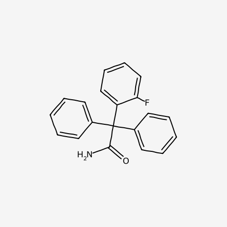 NC(=O)C(c1ccccc1)(c1ccccc1)c1ccccc1F